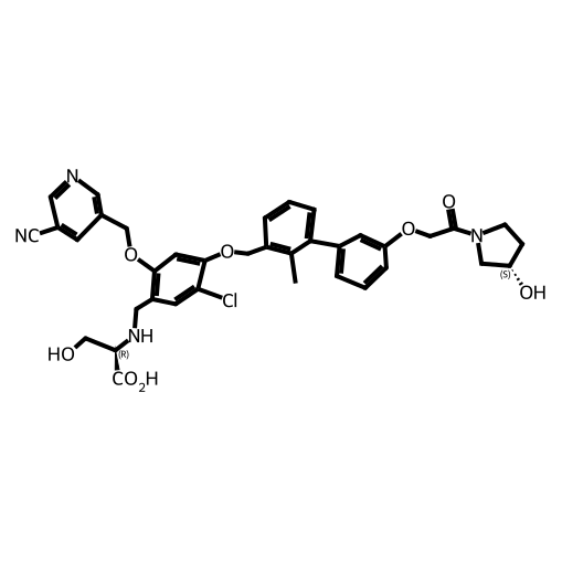 Cc1c(COc2cc(OCc3cncc(C#N)c3)c(CN[C@H](CO)C(=O)O)cc2Cl)cccc1-c1cccc(OCC(=O)N2CC[C@H](O)C2)c1